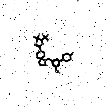 Cc1cc(CN2CCCC23CCN(C(=O)OC(C(F)(F)F)C(F)(F)F)CC3)cc(N2CCC(F)CC2)c1